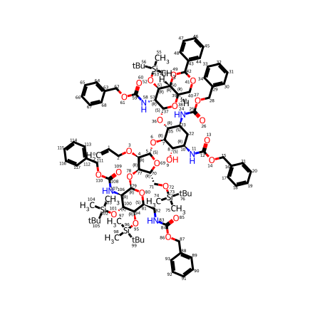 C=CCO[C@H]1[C@H](O[C@@H]2[C@@H](O)[C@H](NC(=O)OCc3ccccc3)C[C@H](NC(=O)OCc3ccccc3)[C@H]2O[C@H]2O[C@@H]3COC(c4ccccc4)O[C@H]3[C@H](O[Si](C)(C)C(C)(C)C)[C@H]2NC(=O)OCc2ccccc2)O[C@H](CO[Si](C)(C)C(C)(C)C)[C@H]1O[C@H]1O[C@@H](CNC(=O)OCc2ccccc2)[C@@H](O[Si](C)(C)C(C)(C)C)[C@H](O[Si](C)(C)C(C)(C)C)[C@H]1NC(=O)OCc1ccccc1